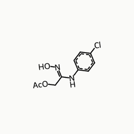 CC(=O)OCC(=NO)Nc1ccc(Cl)cc1